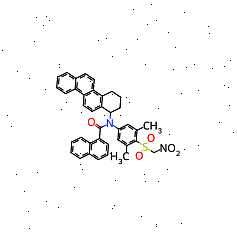 Cc1cc(N(C(=O)c2cccc3ccccc23)C2CCCc3c2ccc2c3ccc3ccccc32)cc(C)c1S(=O)(=O)C[N+](=O)[O-]